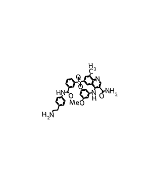 COc1cccc(Nc2c(C(N)=O)cnc3c(C)cc(S(=O)(=O)c4cccc(C(=O)Nc5ccc(CCN)cc5)c4)cc23)c1